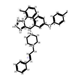 Cc1ccc(Oc2cccc([C@@H](c3nnnn3-c3c(C)cccc3C)N3CCN(C/C=C/c4ccccc4)CC3)c2)cc1